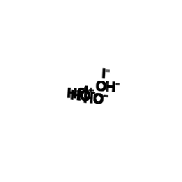 [Hf+4].[I-].[OH-].[OH-].[OH-]